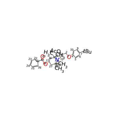 CC(=O)OC(COc1ccc(C(C)(C)C)cc1)CN1C(C)(C)CC(OC(=O)c2ccccc2)CC1(C)C